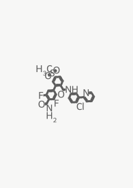 CS(=O)(=O)c1ccc(C(=O)Nc2ccc(Cl)c(-c3ccccn3)c2)c(-c2cc(F)c(C(N)=O)c(F)c2)c1